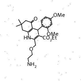 CCOC(=O)C1=C(COCCN)NC2=C(C(=O)CC(C)(C)C2)C1c1ccc(OC)cc1OC